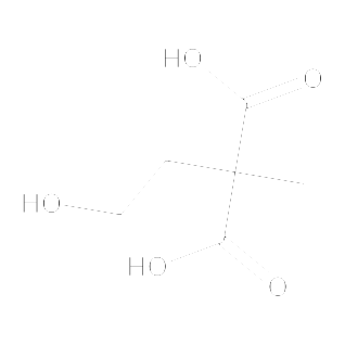 CC(CCO)(C(=O)O)C(=O)O